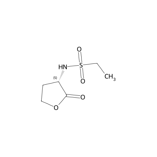 CCS(=O)(=O)N[C@H]1CCOC1=O